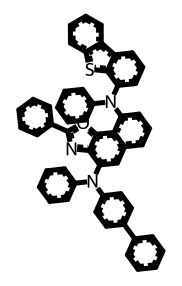 c1ccc(-c2ccc(N(c3ccccc3)c3cc4cccc(N(c5ccccc5)c5cccc6c5sc5ccccc56)c4c4oc(-c5ccccc5)nc34)cc2)cc1